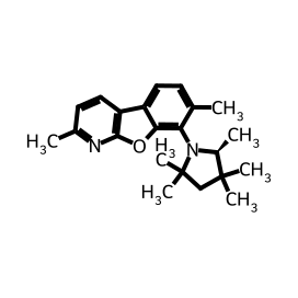 Cc1ccc2c(n1)oc1c(N3[C@@H](C)C(C)(C)CC3(C)C)c(C)ccc12